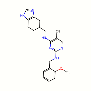 N#Cc1cnc(NCc2ccccc2OC(F)(F)F)nc1NCC1CCc2[nH]cnc2C1